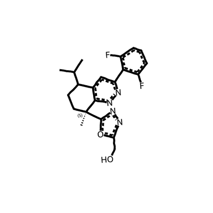 CC(C)C1CC[C@](C)(c2nnc(CO)o2)c2nnc(-c3c(F)cccc3F)cc21